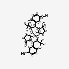 CC1(C)Oc2ccc(C#N)cc2[C@H](N2CCCC2=O)[C@H]1OP(=O)(O)O[C@H]1[C@H](N2CCCC2=O)c2cc(C#N)ccc2OC1(C)C